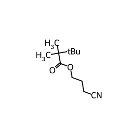 CC(C)(C)C(C)(C)C(=O)OCCCC#N